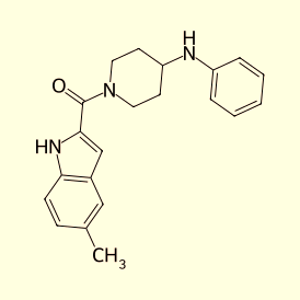 Cc1ccc2[nH]c(C(=O)N3CCC(Nc4ccccc4)CC3)cc2c1